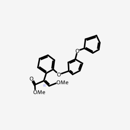 CO/C=C(/C(=O)OC)c1ccccc1Oc1cccc(Oc2ccccc2)c1